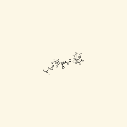 CC(C)COC1CC2CC(C(=O)OCOCC34CC5CC(CC(C5)C3)C4)C1C2